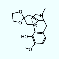 COc1ccc2c(c1O)[C@]13CCN(C)C(C2)C1=CCC1(C3)OCCO1